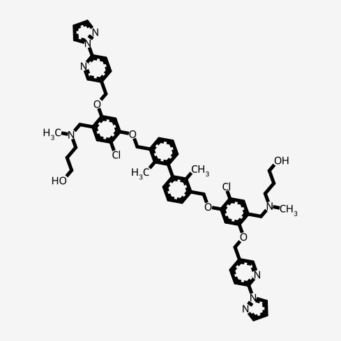 Cc1c(COc2cc(OCc3ccc(-n4cccn4)nc3)c(CN(C)CCCO)cc2Cl)cccc1-c1cccc(COc2cc(OCc3ccc(-n4cccn4)nc3)c(CN(C)CCCO)cc2Cl)c1C